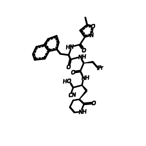 Cc1cc(C(=O)NC(Cc2cccc3ccccc23)C(=O)N[C@@H](CC(C)C)C(=O)N[C@@H](C[C@@H]2CCCNC2=O)C(O)C#N)no1